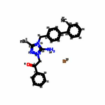 CCCCc1n[n+](CC(=O)c2ccccc2)c(N)n1Cc1ccc(-c2ccccc2C#N)cc1.[Br-]